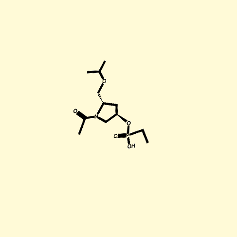 CCP(=O)(O)O[C@@H]1C[C@@H](COC(C)C)N(C(C)=O)C1